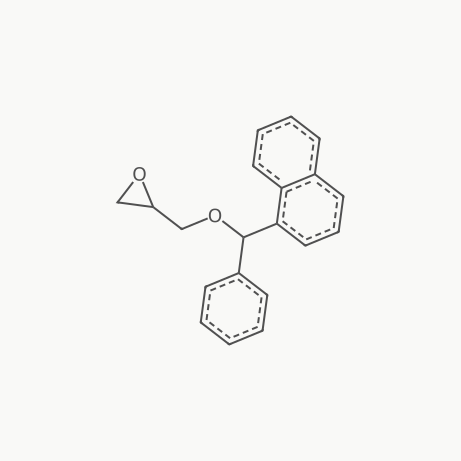 c1ccc(C(OCC2CO2)c2cccc3ccccc23)cc1